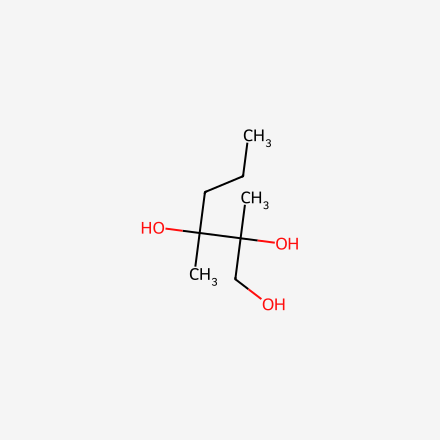 CCCC(C)(O)C(C)(O)CO